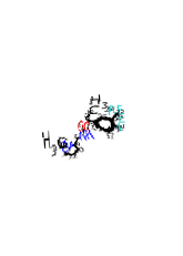 CC1C[C@]1(OC(=O)NCC1CCCN1C)c1ccc(F)c(C(F)(F)F)c1